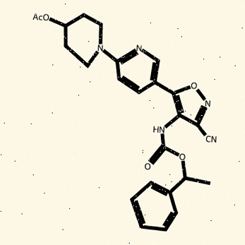 CC(=O)OC1CCN(c2ccc(-c3onc(C#N)c3NC(=O)OC(C)c3ccccc3)cn2)CC1